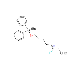 CC(C)(C)[Si](OCCCC/C=C(\F)CC=O)(c1ccccc1)c1ccccc1